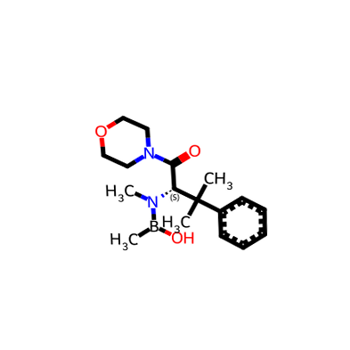 CB(O)N(C)[C@H](C(=O)N1CCOCC1)C(C)(C)c1ccccc1